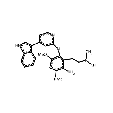 CNc1cc(OC)c(Nc2nccc(-c3c[nH]c4ccccc34)n2)c(CCN(C)C)c1N